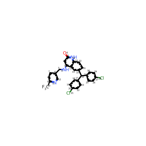 O=c1cc(NCc2ccc(C(F)(F)F)nc2)c2cc(C(c3ccc(Cl)cc3)c3ccc(Cl)cc3)ccc2[nH]1